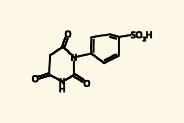 O=C1CC(=O)N(c2ccc(S(=O)(=O)O)cc2)C(=O)N1